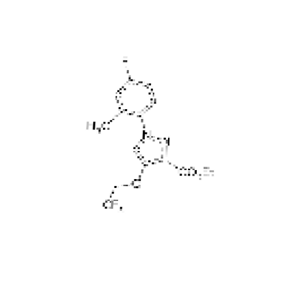 CCOC(=O)c1nn(-c2ccc(F)cc2C)cc1OCC(F)(F)F